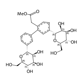 COC(=O)Cc1ccc([C@H]2O[C@H](CO)[C@@H](O)[C@H](O)[C@@H]2O)cc1-c1cccc([C@H]2O[C@H](CO)[C@@H](O)[C@H](O)[C@@H]2O)c1